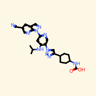 CC(C)Nc1cc(-n2ncc3cc(C#N)cnc32)ncc1-n1cc(C2CCC(NC(=O)O)CC2)nn1